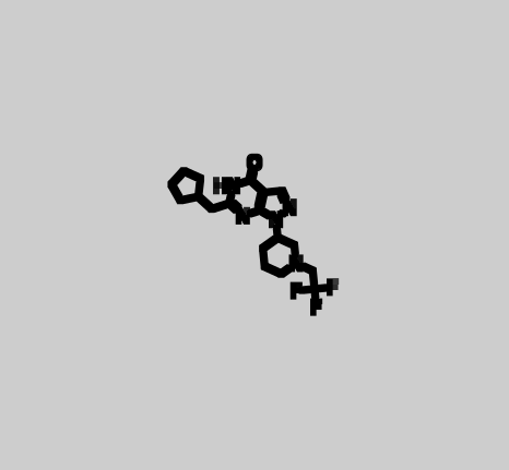 O=c1[nH]c(CC2CCCC2)nc2c1cnn2C1CCCN(CC(F)(F)F)C1